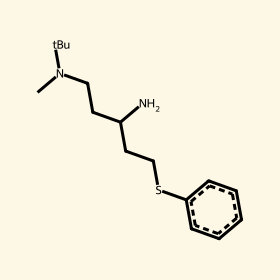 CN(CCC(N)CCSc1ccccc1)C(C)(C)C